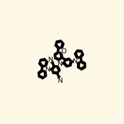 N#Cc1cc(-n2c3ccccc3c3ccccc32)c(C#N)c(-n2c3ccc(-n4c5ccccc5c5ccccc54)cc3c3c4oc5ccccc5c4ccc32)c1